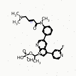 CC(OP(=O)(O)O)n1cc(-c2ccnc(F)c2)c2cc(-c3cccc(N(C)C(=O)/C=C/CN(C)C)c3)cnc21